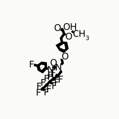 CCOC(Cc1ccc(OCCN(CC(F)(F)C(F)(F)C(F)(F)C(F)(F)C(F)(F)F)C(=O)Nc2ccc(F)cc2)cc1)C(=O)O